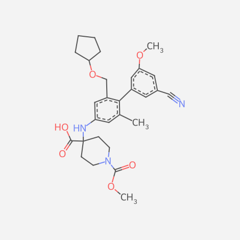 COC(=O)N1CCC(Nc2cc(C)c(-c3cc(C#N)cc(OC)c3)c(COC3CCCC3)c2)(C(=O)O)CC1